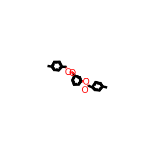 Cc1ccc(COOc2cccc(OC(=O)c3ccc(C)cc3)c2)cc1